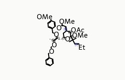 CC/C=C/C(C)(C)[C@]1(OC)O[C@H](C[C@@H](OCc2ccc(OC)cc2)[C@@H](C)OCOCc2ccccc2)C/C(=C\C(=O)OC)[C@@H]1OC(C)=O